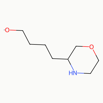 [O]CCCCC1COCCN1